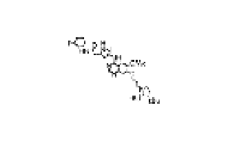 COc1cc2c(Nc3cc(CC(=O)Nc4cccc(F)c4)[nH]n3)ncnc2cc1OCCCN1CCC(C(C)(C)C)[C]1C(C)(C)C